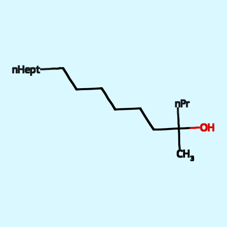 CCCCCCCCCCCCCC(C)(O)CCC